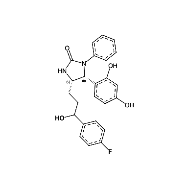 O=C1N[C@@H](CCC(O)c2ccc(F)cc2)[C@@H](c2ccc(O)cc2O)N1c1ccccc1